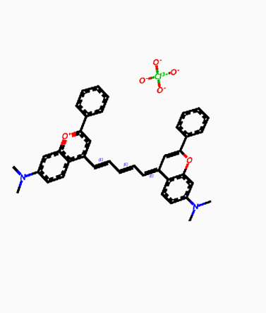 CN(C)c1ccc2c(c1)OC(c1ccccc1)=C\C2=C/C=C/C=C/c1cc(-c2ccccc2)[o+]c2cc(N(C)C)ccc12.[O-][Cl+3]([O-])([O-])[O-]